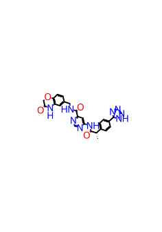 C[C@H](C(=O)Nc1cc(C(=O)NCc2ccc3c(c2)NC(=O)CO3)ncn1)c1ccc(-c2nnn[nH]2)cc1